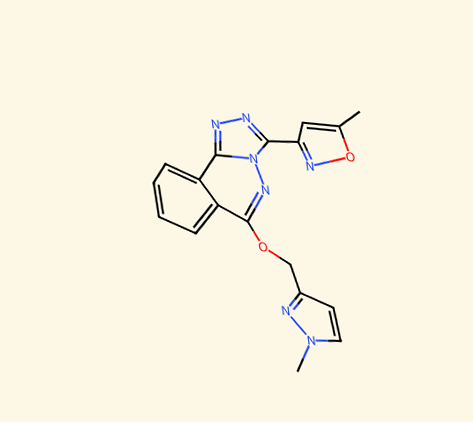 Cc1cc(-c2nnc3c4ccccc4c(OCc4ccn(C)n4)nn23)no1